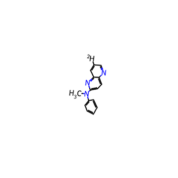 [2H]c1cnc2ccc(N(C)c3ccccc3)nc2c1